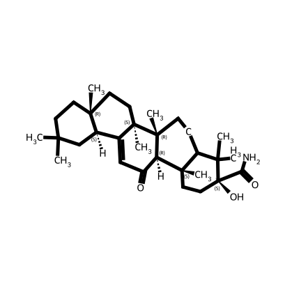 CC1(C)CC[C@]2(C)CC[C@]3(C)C(=CC(=O)[C@@H]4[C@@]5(C)CC[C@@](O)(C(N)=O)C(C)(C)C5CC[C@]43C)[C@H]2C1